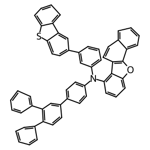 c1ccc(-c2ccc(-c3ccc(N(c4cccc(-c5ccc6sc7ccccc7c6c5)c4)c4cccc5oc6c7ccccc7ccc6c45)cc3)cc2-c2ccccc2)cc1